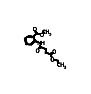 CCOC(=O)CCC(=O)Nc1ccccc1C(=O)OC